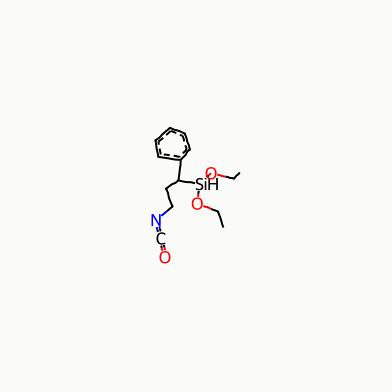 CCO[SiH](OCC)C(CCN=C=O)c1ccccc1